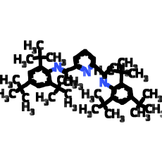 C/C(=N\c1c(C(C)(C)C)cc(C(C)(C)C)cc1C(C)(C)C)c1cccc(/C(C)=N/c2c(C(C)(C)C)cc(C(C)(C)C)cc2C(C)(C)C)n1